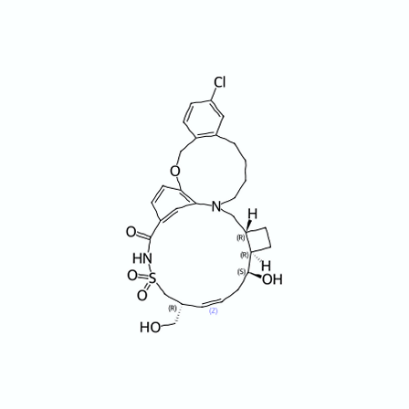 O=C1NS(=O)(=O)C[C@@H](CO)/C=C\C[C@H](O)[C@@H]2CC[C@H]2CN2CCCCc3cc(Cl)ccc3COc3ccc1cc32